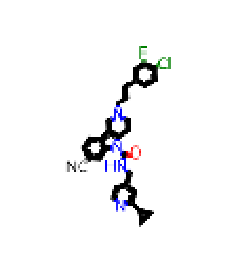 N#Cc1ccc2c3c(n(C(=O)NCc4ccnc(C5CC5)c4)c2c1)CCN(CC=Cc1ccc(Cl)c(F)c1)C3